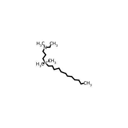 CCCCCCCCCCCC[N+](C)(C)CCCN(C)CC